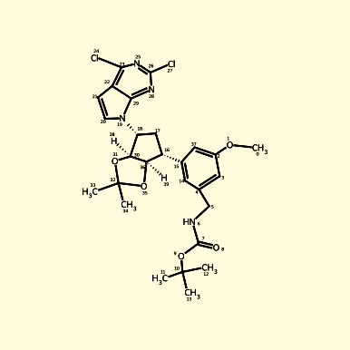 COc1cc(CNC(=O)OC(C)(C)C)cc([C@H]2C[C@@H](n3ccc4c(Cl)nc(Cl)nc43)[C@@H]3OC(C)(C)O[C@@H]32)c1